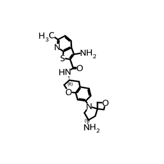 Cc1ccc2c(N)c(C(=O)N[C@H]3COc4cc(N5C[C@@H](N)CC56COC6)ccc4C3)sc2n1